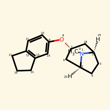 CN1[C@@H]2CC[C@H]1C[C@H](Oc1ccc3c(c1)CCC3)C2